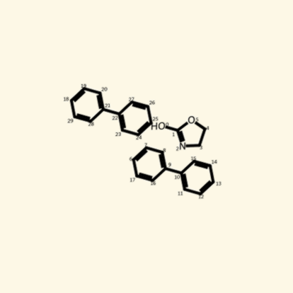 OC1=NCCO1.c1ccc(-c2ccccc2)cc1.c1ccc(-c2ccccc2)cc1